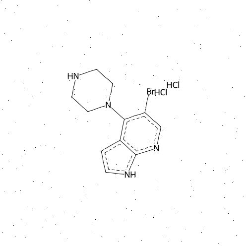 Brc1cnc2[nH]ccc2c1N1CCNCC1.Cl.Cl